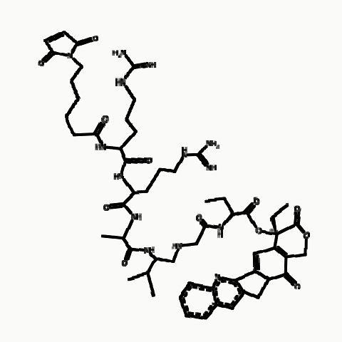 CCC(NC(=O)CNCC(NC(=O)C(C)NC(=O)C(CCCNC(=N)N)NC(=O)C(CCCNC(=N)N)NC(=O)CCCCCN1C(=O)C=CC1=O)C(C)C)C(=O)O[C@]1(CC)C(=O)OCC2=C1C=C1c3nc4ccccc4cc3CC1C2=O